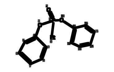 CCP(=O)(Oc1ccccc1)Oc1ccccc1